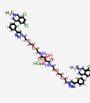 CN1Cc2c(Cl)cc(Cl)cc2[C@H](c2cccc(-c3cn(CCOCCOCCNC(=O)[C@H](O)[C@@H](O)C(=O)NCCOCCOCCn4cc(-c5cccc([C@@H]6CN(C)Cc7c(Cl)cc(Cl)cc76)c5)nn4)nn3)c2)C1.Cl